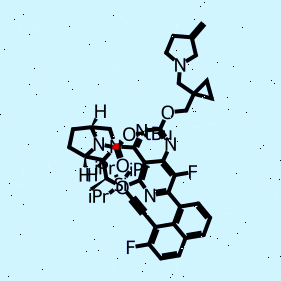 C=C1CCN(CC2(COc3nc4c5c(nc(-c6cccc7ccc(F)c(C#C[Si](C(C)C)(C(C)C)C(C)C)c67)c(F)c5n3)O[C@@H](C)[C@@H]3[C@@H]5CC[C@H](CN43)N5C(=O)OC(C)(C)C)CC2)C1